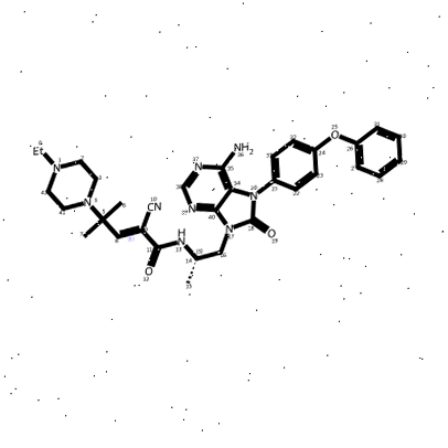 CCN1CCN(C(C)(C)/C=C(\C#N)C(=O)N[C@@H](C)Cn2c(=O)n(-c3ccc(Oc4ccccc4)cc3)c3c(N)ncnc32)CC1